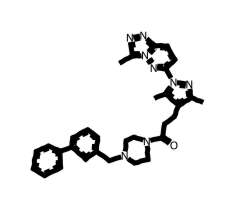 Cc1nn(-c2ccc3nnc(C)n3n2)c(C)c1CCC(=O)N1CCN(Cc2cccc(-c3ccccc3)c2)CC1